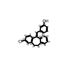 Oc1cccc(/C=C2/c3ccc(Cl)cc3CCc3cccnc32)c1